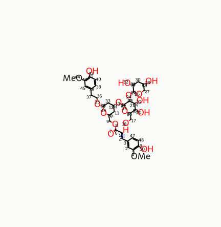 COc1cc(/C=C/C(=O)OC[C@@H]2C[C@H](O[C@@H]3O[C@H](CO)[C@@H](O)[C@H](O)[C@H]3O[C@@H]3OC[C@@H](O)C[C@H]3O)C[C@H](OCCc3ccc(O)c(OC)c3)O2)ccc1O